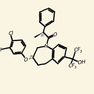 C[C@H](C(=O)N1C[C@@H](Oc2ccc(Cl)c(Cl)c2)CCc2cc(C(O)(C(F)(F)F)C(F)(F)F)ccc21)c1ccccc1